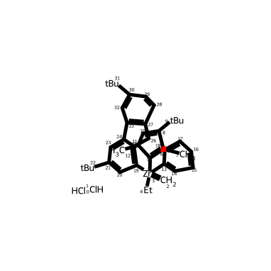 Cl.Cl.[CH2]=[Zr]([CH2]C)([C]1=C(C)C(C(C)(C)C)=CC1C)([c]1ccccc1)[c]1cc(C(C)(C)C)cc2c1Cc1ccc(C(C)(C)C)cc1-2